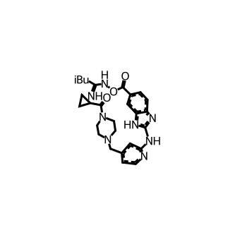 CCC(C)C(=N)NOC(=O)c1ccc2nc(Nc3cc(CN4CCN(C(=O)C5CC5)CC4)ccn3)[nH]c2c1